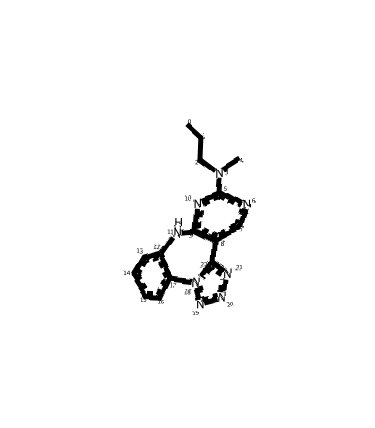 CCCN(C)c1ncc2c(n1)Nc1ccccc1-n1nnnc1-2